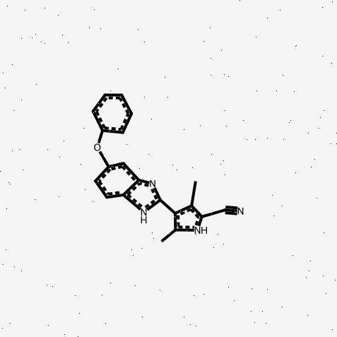 Cc1[nH]c(C#N)c(C)c1-c1nc2cc(Oc3ccccc3)ccc2[nH]1